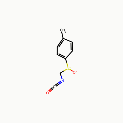 Cc1ccc([S+]([O-])CN=C=O)cc1